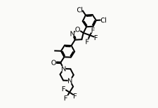 Cc1cc(C2=NOC(c3cc(Cl)cc(Cl)c3)(C(F)(F)F)C2)ccc1C(=O)N1CCN(CC(F)(F)F)CC1